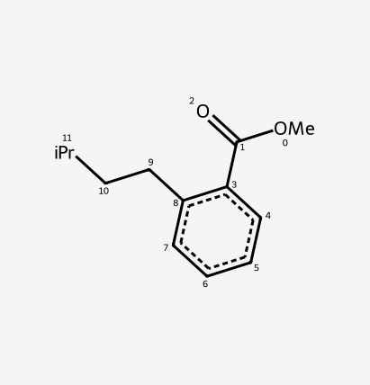 COC(=O)c1ccccc1CCC(C)C